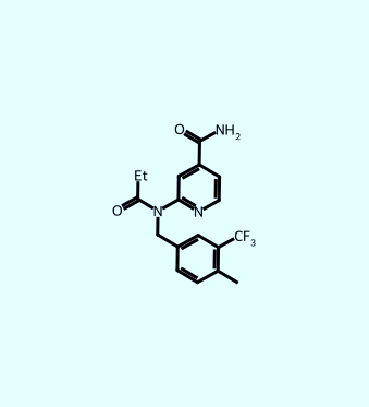 CCC(=O)N(Cc1ccc(C)c(C(F)(F)F)c1)c1cc(C(N)=O)ccn1